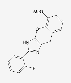 COc1cccc2c1Oc1[nH]c(-c3ccccc3F)nc1C2